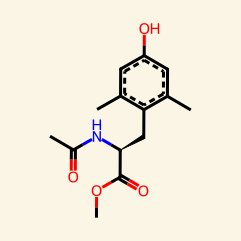 COC(=O)[C@H](Cc1c(C)cc(O)cc1C)NC(C)=O